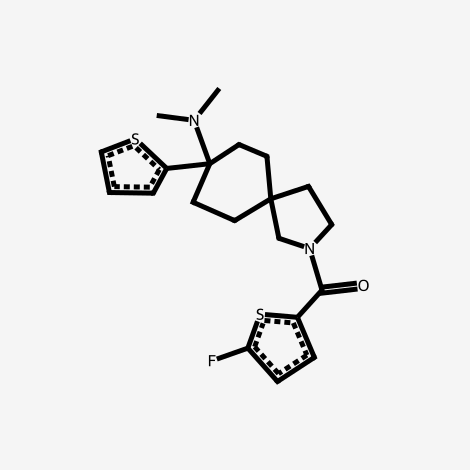 CN(C)C1(c2cccs2)CCC2(CCN(C(=O)c3ccc(F)s3)C2)CC1